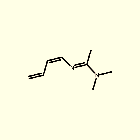 C=C/C=C\N=C(/C)N(C)C